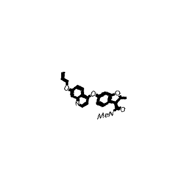 C=CCOc1ccc2c(Oc3ccc4c(c3)OC(C)C4C(=O)NC)ccnc2c1